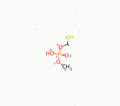 COP(=O)(O)OCS